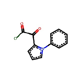 O=C(Cl)C(=O)c1cccn1-c1ccccc1